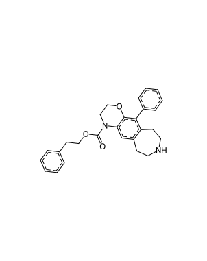 O=C(OCCc1ccccc1)N1CCOc2c1cc1c(c2-c2ccccc2)CCNCC1